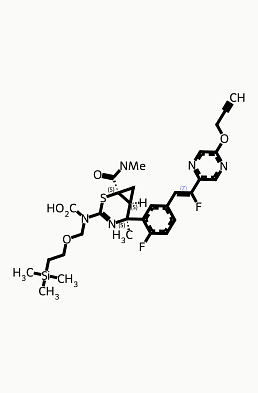 C#CCOc1cnc(/C(F)=C/c2ccc(F)c([C@@]3(C)N=C(N(COCC[Si](C)(C)C)C(=O)O)S[C@@]4(C(=O)NC)C[C@H]43)c2)cn1